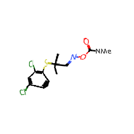 CNC(=O)O/N=C/C(C)(C)Sc1ccc(Cl)cc1Cl